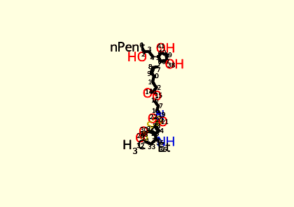 CCCCC[C@H](O)CC[C@@H]1[C@@H](C/C=C\CCCC(=O)OCC/C=N/S(=O)(=O)c2cc3c(s2)S(=O)(=O)[C@@H](C)C[C@@H]3NCC)[C@@H](O)C[C@H]1O